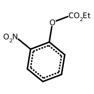 CCOC(=O)Oc1ccccc1[N+](=O)[O-]